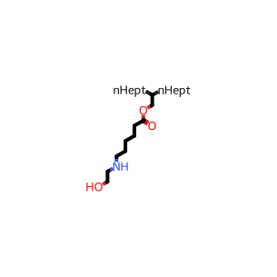 CCCCCCCC(CCCCCCC)COC(=O)CCCCCNCCO